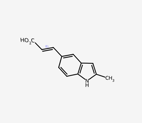 Cc1cc2cc(/C=C/C(=O)O)ccc2[nH]1